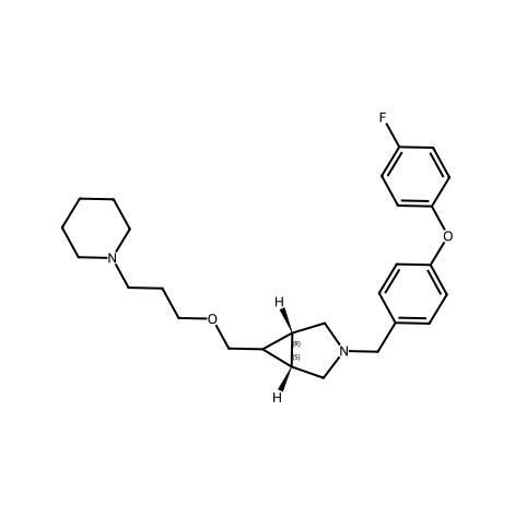 Fc1ccc(Oc2ccc(CN3C[C@@H]4C(COCCCN5CCCCC5)[C@@H]4C3)cc2)cc1